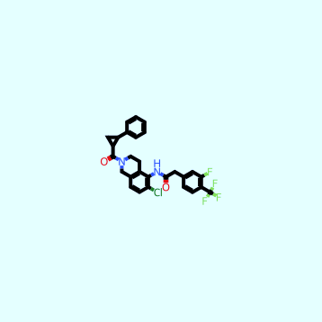 O=C(Cc1ccc(C(F)(F)F)c(F)c1)Nc1c(Cl)ccc2c1CCN(C(=O)C1CC1c1ccccc1)C2